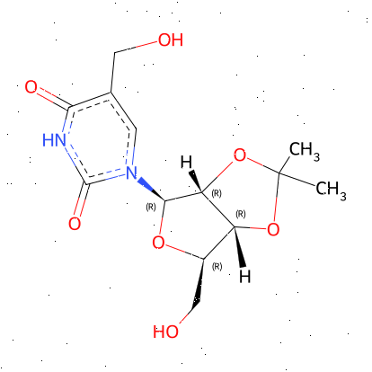 CC1(C)O[C@@H]2[C@H](O1)[C@@H](CO)O[C@H]2n1cc(CO)c(=O)[nH]c1=O